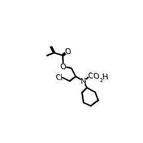 C=C(C)C(=O)OCC(CCl)N(C(=O)O)C1CCCCC1